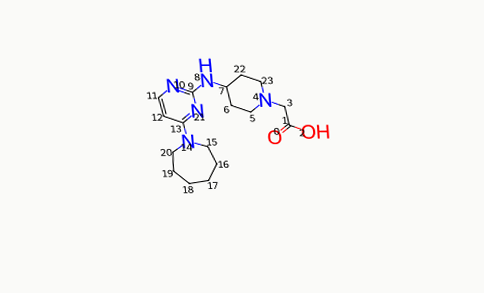 O=C(O)CN1CCC(Nc2nccc(N3CCCCCC3)n2)CC1